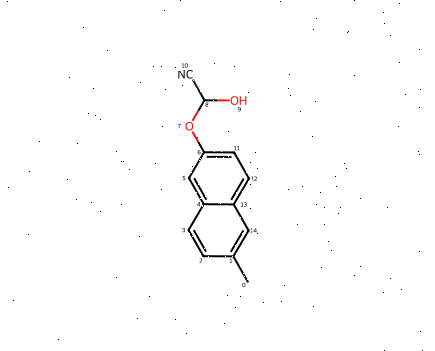 Cc1ccc2cc(OC(O)C#N)ccc2c1